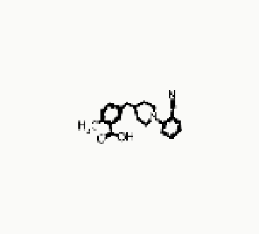 Cc1ccc(CC2CCN(c3ccccc3C#N)CC2)cc1C(=O)O